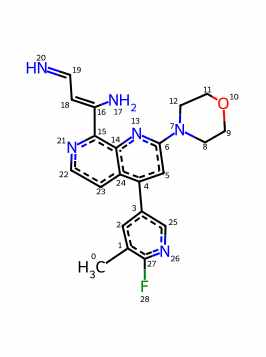 Cc1cc(-c2cc(N3CCOCC3)nc3c(/C(N)=C/C=N)nccc23)cnc1F